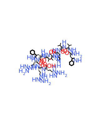 CC(C)[C@H](NC(=O)[C@H](Cc1c[nH]cn1)NC(=O)[C@@H](NC(=O)[C@@H](NC(=O)[C@@H](N)Cc1c[nH]c2ccccc12)C(C)C)C(C)C)C(=O)N[C@H](C(=O)N[C@@H](Cc1c[nH]c2ccccc12)C(=O)N[C@@H](CCCNC(=N)N)C(=O)N[C@@H](CCCNC(=N)N)C(=O)N[C@@H](CCCNC(=N)N)C(=O)O)C(C)C